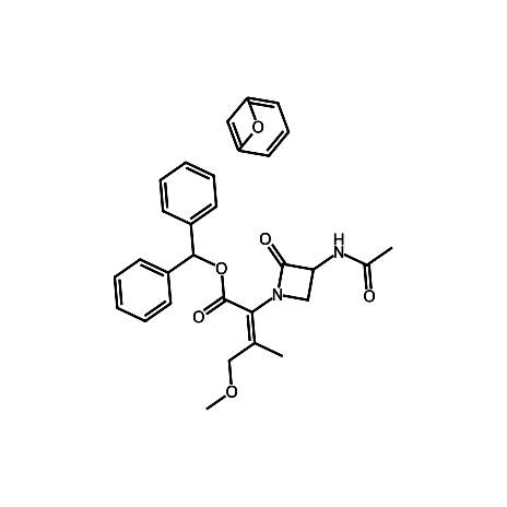 COCC(C)=C(C(=O)OC(c1ccccc1)c1ccccc1)N1CC(NC(C)=O)C1=O.c1cc2cc(c1)O2